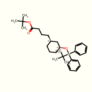 CC(C)(C)OC(=O)CCC[C@@H]1CCC[C@H](O[Si](c2ccccc2)(c2ccccc2)C(C)(C)C)C1